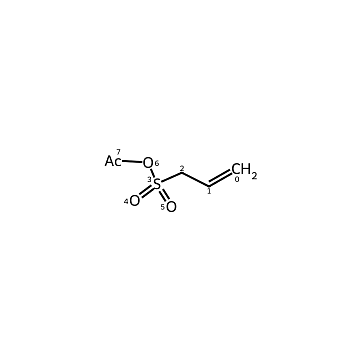 C=CCS(=O)(=O)OC(C)=O